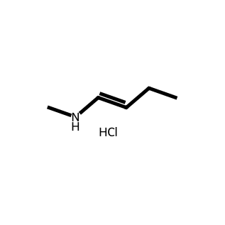 CC/C=C/NC.Cl